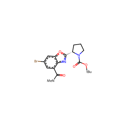 CNC(=O)c1cc(Br)cc2oc([C@@H]3CCCN3C(=O)OC(C)(C)C)nc12